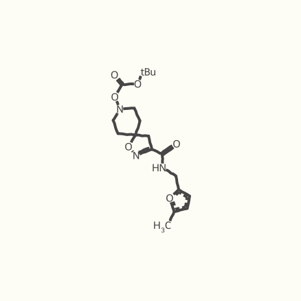 Cc1ccc(CNC(=O)C2=NOC3(CCN(OC(=O)OC(C)(C)C)CC3)C2)o1